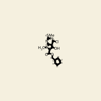 CSc1nc(Cl)c2c(O)c(C(=O)OCc3ccccc3)n(C)c2n1